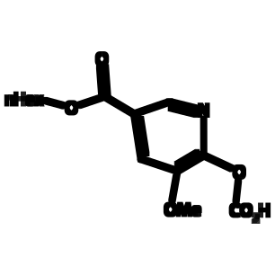 CCCCCCOC(=O)c1cnc(OC(=O)O)c(OC)c1